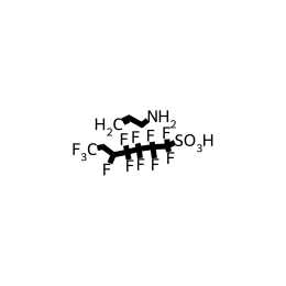 C=CCN.O=S(=O)(O)C(F)(F)C(F)(F)C(F)(F)C(F)(F)C(F)CC(F)(F)F